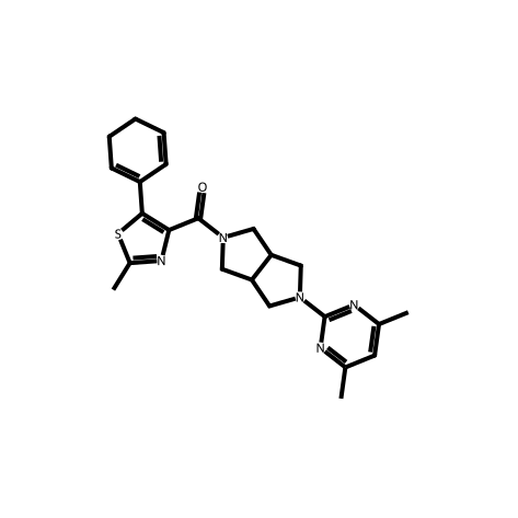 Cc1cc(C)nc(N2CC3CN(C(=O)c4nc(C)sc4C4=CCCC=C4)CC3C2)n1